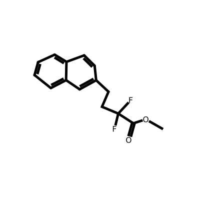 COC(=O)C(F)(F)CCc1ccc2ccccc2c1